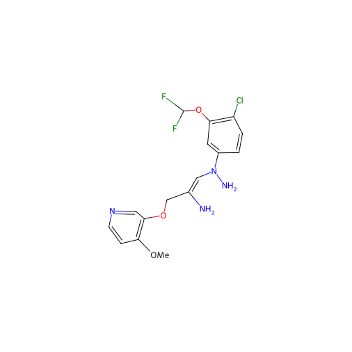 COc1ccncc1OC/C(N)=C/N(N)c1ccc(Cl)c(OC(F)F)c1